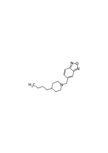 CCCCC1CCN(Cc2ccc3nonc3c2)CC1